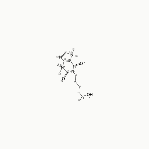 CC(O)CCCCN1C(=O)C2=C(N=C[N+]2(C)C)[N+](C)(C)C1=O